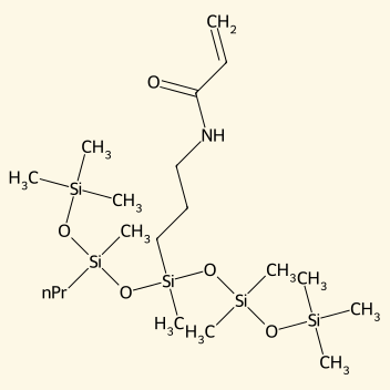 C=CC(=O)NCCC[Si](C)(O[Si](C)(C)O[Si](C)(C)C)O[Si](C)(CCC)O[Si](C)(C)C